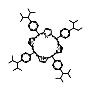 CCC(c1ccc(-c2c3nc(c(-c4ccc(C(C(C)C)C(C)C)cc4)c4ccc([nH]4)c(-c4ccc(C(C(C)C)C(C)C)cc4)c4nc(c(-c5ccc(C(C(C)C)C(C)C)cc5)c5ccc2[nH]5)C=C4)C=C3)cc1)C(C)C